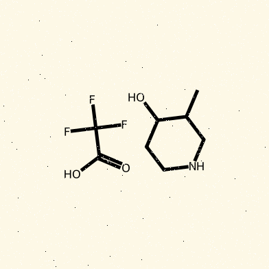 CC1CNCCC1O.O=C(O)C(F)(F)F